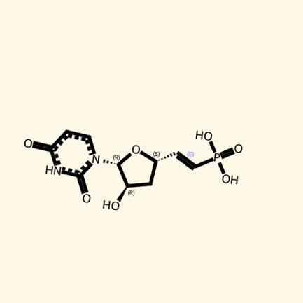 O=c1ccn([C@@H]2O[C@H](/C=C/P(=O)(O)O)C[C@H]2O)c(=O)[nH]1